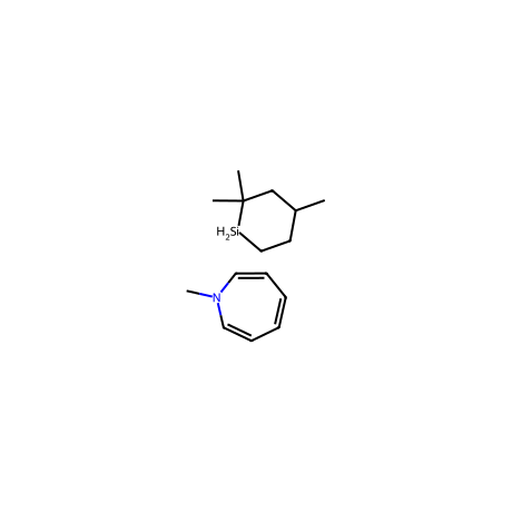 CC1CC[SiH2]C(C)(C)C1.CN1C=CC=CC=C1